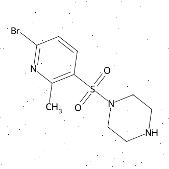 Cc1nc(Br)ccc1S(=O)(=O)N1CCNCC1